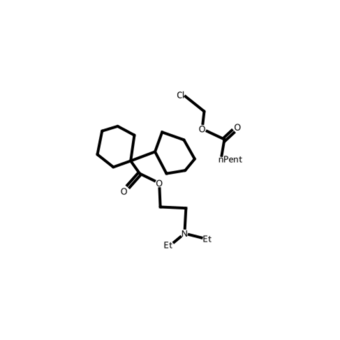 CCCCCC(=O)OCCl.CCN(CC)CCOC(=O)C1(C2CCCCC2)CCCCC1